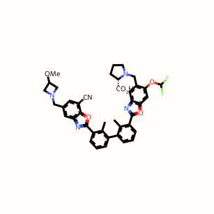 COC1CN(Cc2cc(C#N)c3oc(-c4cccc(-c5cccc(-c6nc7cc(CN8CCC[C@H]8C(=O)O)c(OC(F)F)cc7o6)c5C)c4C)nc3c2)C1